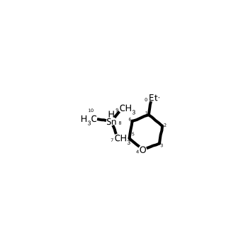 C[CH]C1CCOCC1.[CH3][SnH]([CH3])[CH3]